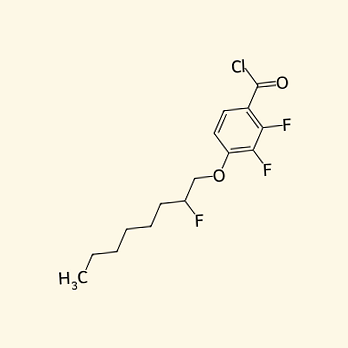 CCCCCCC(F)COc1ccc(C(=O)Cl)c(F)c1F